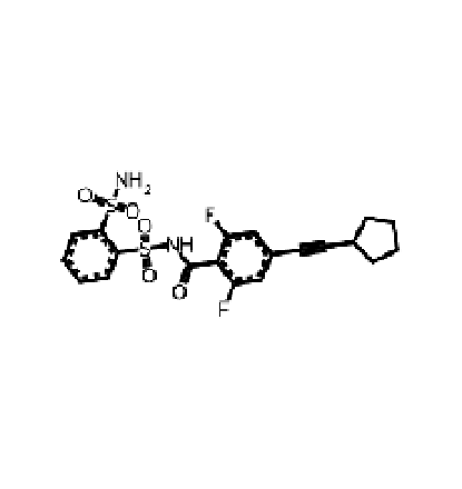 NS(=O)(=O)c1ccccc1S(=O)(=O)NC(=O)c1c(F)cc(C#CC2CCCC2)cc1F